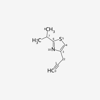 C#C[CH]c1csc(C(C)C)n1